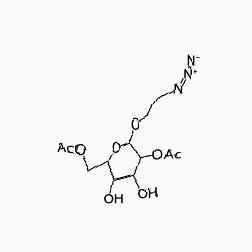 CC(=O)OCC1OC(OCCN=[N+]=[N-])C(OC(C)=O)C(O)C1O